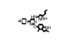 C/C=C/c1cc(Nc2cc(N3CCN(C)CC3)nc(Oc3ccc4[nH]c(C)cc4c3C)n2)n[nH]1